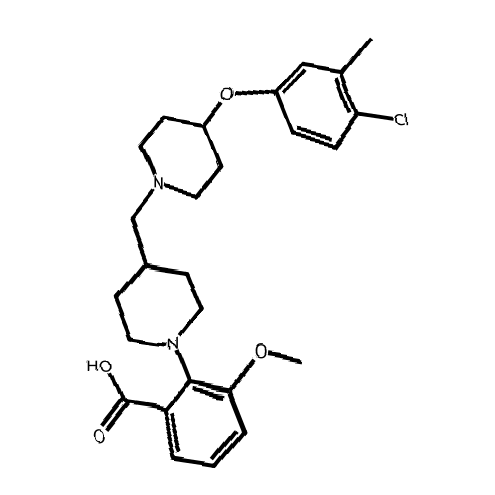 COc1cccc(C(=O)O)c1N1CCC(CN2CCC(Oc3ccc(Cl)c(C)c3)CC2)CC1